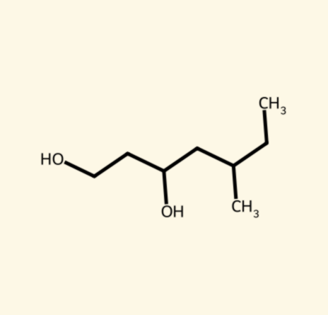 CCC(C)CC(O)CCO